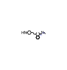 C/C=N\C=C(/C)c1ccccc1C(C)CCC1CCC(NC)CC1